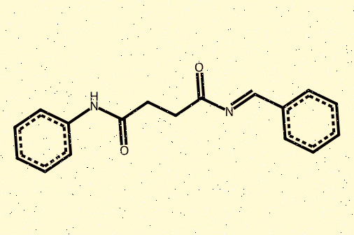 O=C(CCC(=O)Nc1ccccc1)/N=C/c1ccccc1